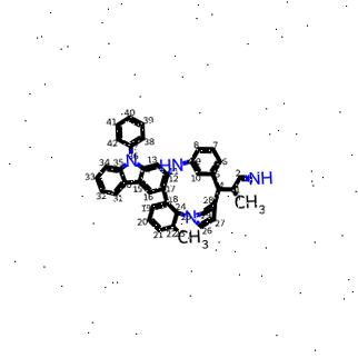 CC(C=N)C1c2cccc(c2)Nc2cc3c(cc2C2=CC=CC(C)C2n2ccc1c2)c1ccccc1n3-c1ccccc1